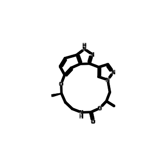 CC1Cn2cc(cn2)-c2n[nH]c3ccc(cc23)O[C@H](C)CCNC(=O)O1